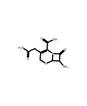 NC(=O)CC1=C(C(=O)O)N2C(=O)C(N)C2SC1